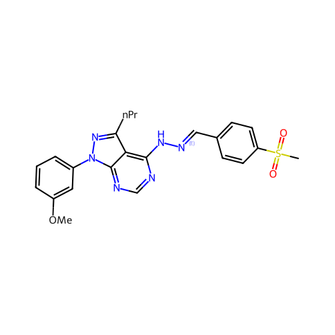 CCCc1nn(-c2cccc(OC)c2)c2ncnc(N/N=C/c3ccc(S(C)(=O)=O)cc3)c12